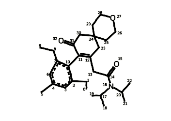 CCc1cc(C)cc(CC)c1C1=C(CC(=O)N(C(C)C)C(C)C)CC2(CCOCC2)CC1=O